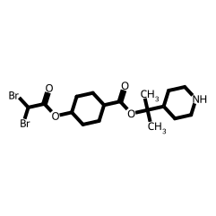 CC(C)(OC(=O)C1CCC(OC(=O)C(Br)Br)CC1)C1CCNCC1